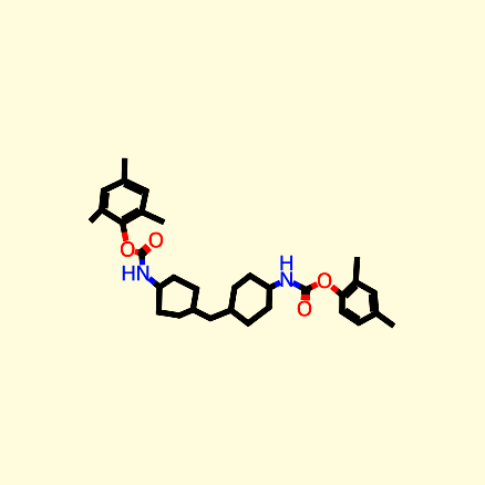 Cc1ccc(OC(=O)NC2CCC(CC3CCC(NC(=O)Oc4c(C)cc(C)cc4C)CC3)CC2)c(C)c1